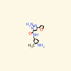 Cc1cc(CNC(=O)c2cc(-c3ccco3)nc(N)n2)ccc1N